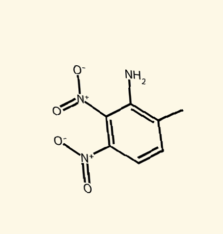 Cc1ccc([N+](=O)[O-])c([N+](=O)[O-])c1N